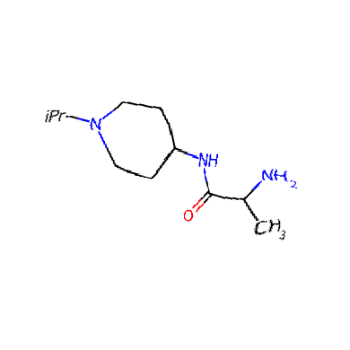 CC(N)C(=O)NC1CCN(C(C)C)CC1